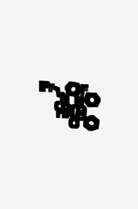 CC(C)CCN1C(=O)C(NC(=O)Oc2ccccc2)C(=O)N(c2ccccc2F)c2ccccc21